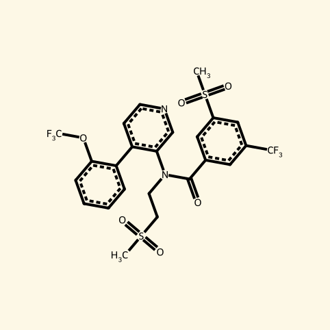 CS(=O)(=O)CCN(C(=O)c1cc(C(F)(F)F)cc(S(C)(=O)=O)c1)c1cnccc1-c1ccccc1OC(F)(F)F